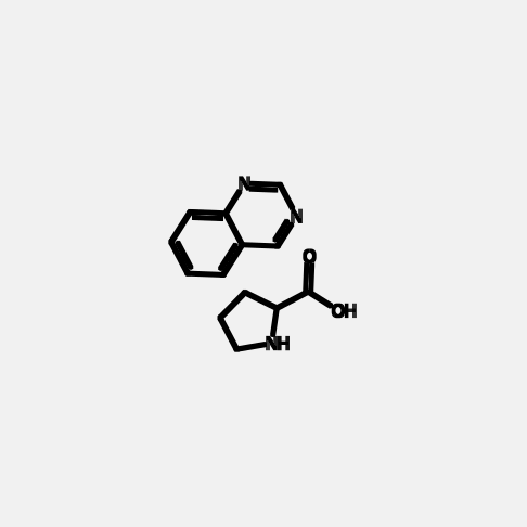 O=C(O)C1CCCN1.c1ccc2ncncc2c1